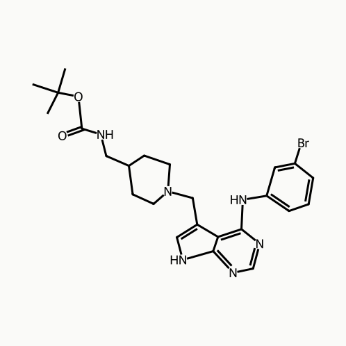 CC(C)(C)OC(=O)NCC1CCN(Cc2c[nH]c3ncnc(Nc4cccc(Br)c4)c23)CC1